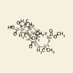 COC(=O)[C@H]1CCC(C)(C)CCC2C(=O)C=C3[C@@]4(C)CC(C(=O)O)C(=O)[C@@H](C)[C@@H]4CC[C@@]3(C)[C@]2(C)CC1